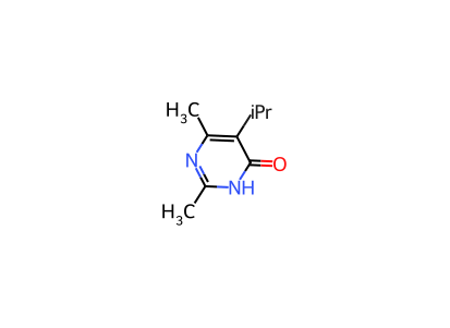 Cc1nc(C)c(C(C)C)c(=O)[nH]1